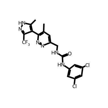 Cc1cc(CNC(=O)Nc2cc(Cl)cc(Cl)c2)nnc1-c1c(C(F)(F)F)n[nH]c1C